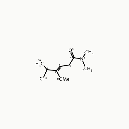 CO/C(=C\CC(=O)N(C)C)C(C)Cl